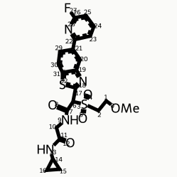 COCCS(=O)(=O)C(C(=O)NCC(=O)NC1CC1)c1nc2cc(-c3cccc(F)n3)ccc2s1